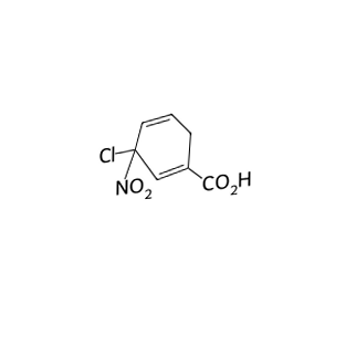 O=C(O)C1=CC(Cl)([N+](=O)[O-])C=CC1